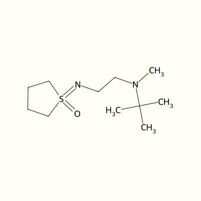 CN(CCN=S1(=O)CCCC1)C(C)(C)C